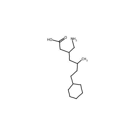 CC(CCC1CCCCC1)CC(CN)CC(=O)O